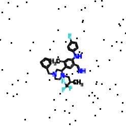 Cc1cc(Nc2ccc(F)cc2)c(C=N)cc1C1CN(Cc2ccccc2)CCN1CC(C)C(F)(F)F